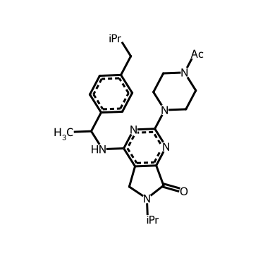 CC(=O)N1CCN(c2nc(NC(C)c3ccc(CC(C)C)cc3)c3c(n2)C(=O)N(C(C)C)C3)CC1